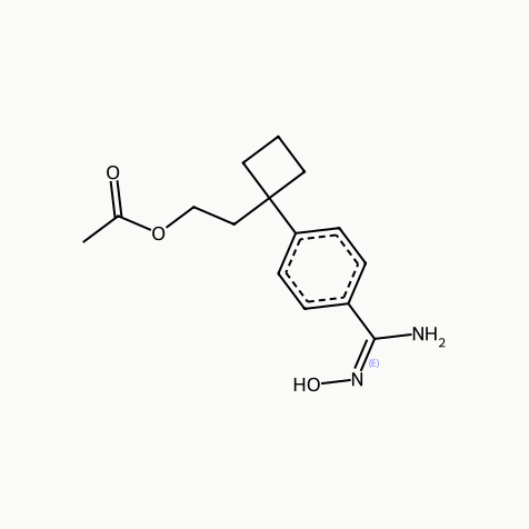 CC(=O)OCCC1(c2ccc(/C(N)=N\O)cc2)CCC1